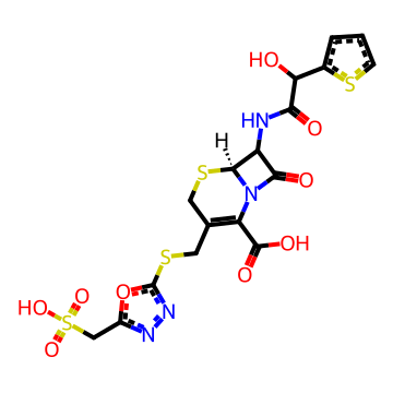 O=C(O)C1=C(CSc2nnc(CS(=O)(=O)O)o2)CS[C@H]2C(NC(=O)C(O)c3cccs3)C(=O)N12